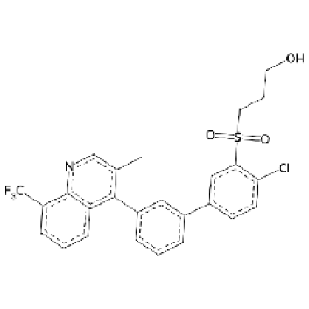 Cc1cnc2c(C(F)(F)F)cccc2c1-c1cccc(-c2ccc(Cl)c(S(=O)(=O)CCCO)c2)c1